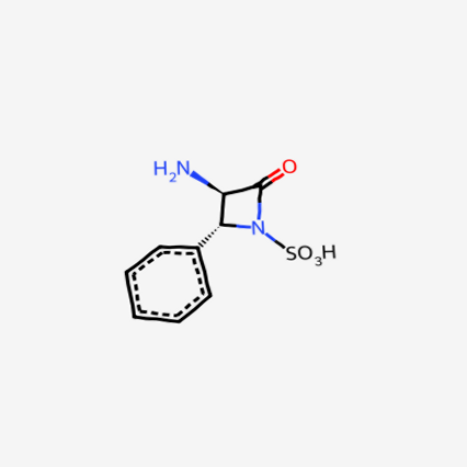 N[C@H]1C(=O)N(S(=O)(=O)O)[C@@H]1c1ccccc1